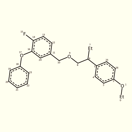 CCOc1ccc(C(CC)COCc2ccc(F)c(Oc3ccccc3)c2)cc1